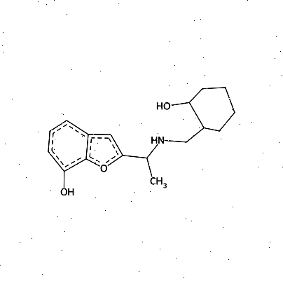 CC(NCC1CCCCC1O)c1cc2cccc(O)c2o1